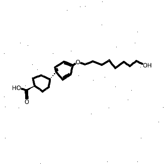 O=C(O)[C@H]1CC[C@H](c2ccc(OCCCCCCCCO)cc2)CC1